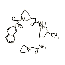 CC1CCCN(NC(=O)CC2CCCN(S(=O)(=O)c3ccc4ccccc4c3)C2)C1.NC(=O)CN1CCCCC1